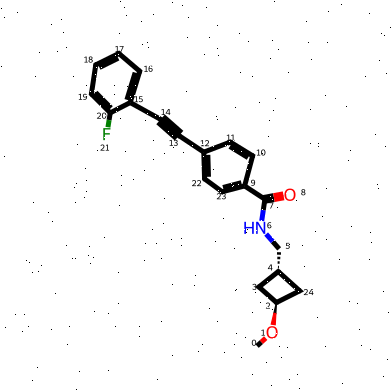 CO[C@H]1C[C@H](CNC(=O)c2ccc(C#Cc3ccccc3F)cc2)C1